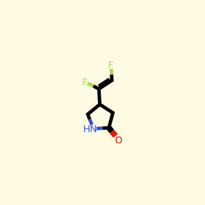 O=C1CC(C(F)=CF)CN1